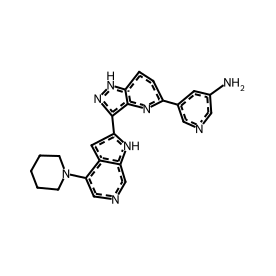 Nc1cncc(-c2ccc3[nH]nc(-c4cc5c(N6CCCCC6)cncc5[nH]4)c3n2)c1